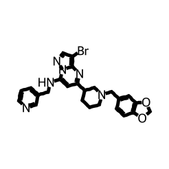 Brc1cnn2c(NCc3cccnc3)cc(C3CCCN(Cc4ccc5c(c4)OCO5)C3)nc12